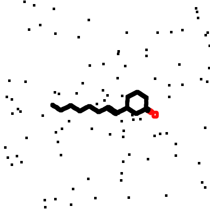 CCCCCCC=CC1CCCC(=O)C1